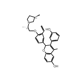 C=Cc1cc(C2Oc3ccc(O)cc3C(C)=C2c2cccc(O)c2)ccc1OC[C@H](C)N1CC[C@@H](C)C1